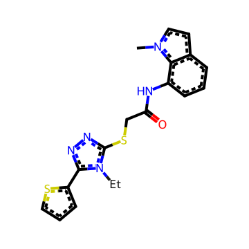 CCn1c(SCC(=O)Nc2cccc3ccn(C)c23)nnc1-c1cccs1